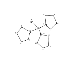 Br[P](N1CCCC1)(N1CCCC1)N1CCCC1